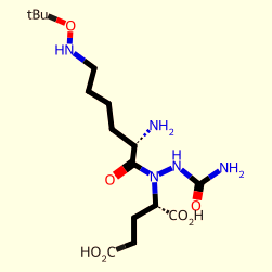 CC(C)(C)ONCCCC[C@H](N)C(=O)N(NC(N)=O)[C@@H](CCC(=O)O)C(=O)O